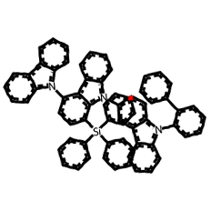 c1ccc(-c2ccccc2-n2c3ccccc3c3cc(-n4c5ccccc5c5c(-n6c7ccccc7c7ccccc76)ccc([Si](c6ccccc6)(c6ccccc6)c6ccccc6)c54)ccc32)cc1